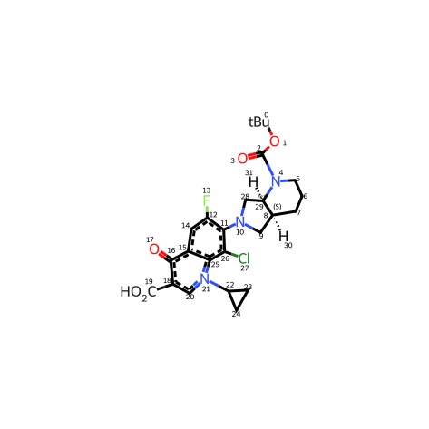 CC(C)(C)OC(=O)N1CCC[C@H]2CN(c3c(F)cc4c(=O)c(C(=O)O)cn(C5CC5)c4c3Cl)C[C@H]21